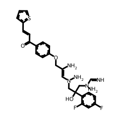 N=CN(N)CC(O)(CN(N)/C=C(\N)COc1ccc(C(=O)/C=C/c2cccs2)cc1)c1ccc(F)cc1F